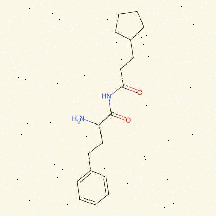 NC(CCc1ccccc1)C(=O)NC(=O)CCC1CCCC1